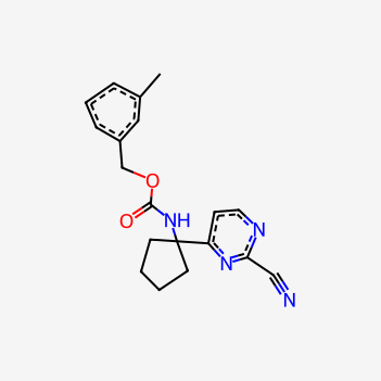 Cc1cccc(COC(=O)NC2(c3ccnc(C#N)n3)CCCC2)c1